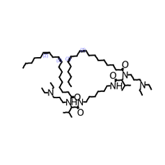 CCCCC/C=C\C/C=C\CCCCCCCC(=O)N(CCCN(CC)CC)C(C(=O)NCCCCCCNC(=O)C(C(C)C)N(CCCN(CC)CC)C(=O)CCCCCCC/C=C\C/C=C\CCCCC)C(C)C